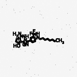 CCCCCCCCNc1ccc(-c2noc([C@@H]3[C@H](O)CCN3C(=N)N)n2)cc1C(F)(F)F